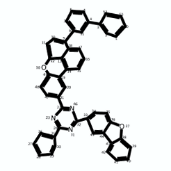 c1ccc(-c2cccc(-c3ccc4c5c(cccc35)-c3cc(-c5nc(-c6ccccc6)nc(-c6ccc7oc8ccccc8c7c6)n5)ccc3O4)c2)cc1